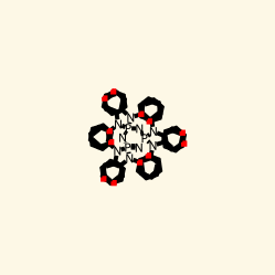 c1ccc(N(c2ccccc2)P2(N(c3ccccc3)c3ccccc3)=NP(N(c3ccccc3)c3ccccc3)(N(c3ccccc3)c3ccccc3)=NP(N(c3ccccc3)c3ccccc3)(N(c3ccccc3)c3ccccc3)=N2)cc1